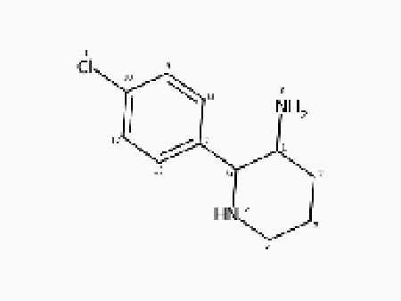 NC1CCCNC1c1ccc(Cl)cc1